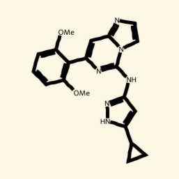 COc1cccc(OC)c1-c1cc2nccn2c(Nc2cc(C3CC3)[nH]n2)n1